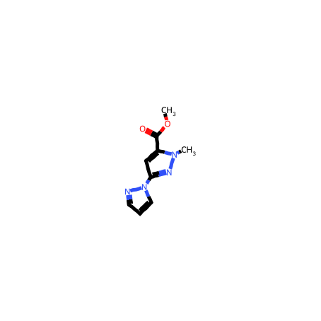 COC(=O)c1cc(-n2cccn2)nn1C